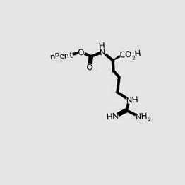 CCCCCOC(=O)N[C@H](CCCNC(=N)N)C(=O)O